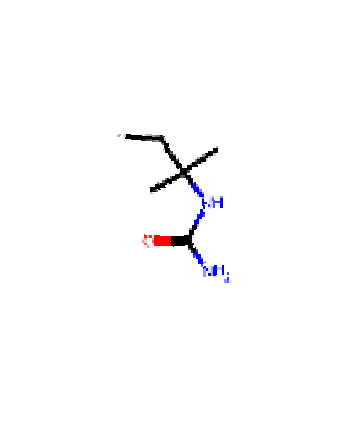 [CH2]CC(C)(C)NC(N)=O